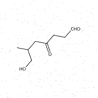 CC(CO)CC(=O)CC[C]=O